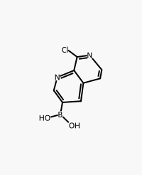 OB(O)c1cnc2c(Cl)nccc2c1